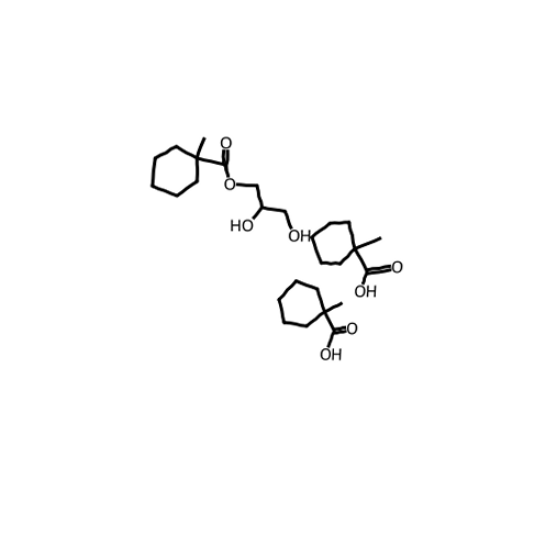 CC1(C(=O)O)CCCCC1.CC1(C(=O)O)CCCCC1.CC1(C(=O)OCC(O)CO)CCCCC1